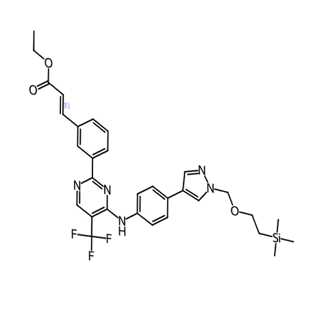 CCOC(=O)/C=C/c1cccc(-c2ncc(C(F)(F)F)c(Nc3ccc(-c4cnn(COCC[Si](C)(C)C)c4)cc3)n2)c1